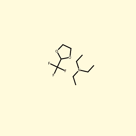 CCN(CC)CC.FC(F)(F)C1OCCO1